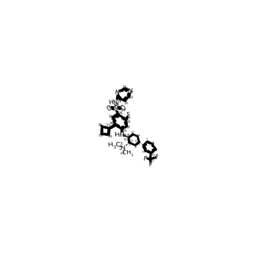 CN(C)[C@H]1C[C@@H](c2cccc(C(F)(F)F)c2)CC[C@@H]1Nc1cc(F)c(S(=O)(=O)Nc2ccncn2)cc1C1CCC1